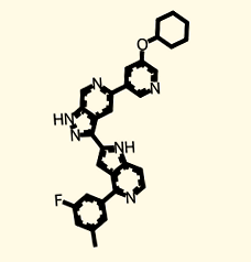 Cc1cc(F)cc(-c2nccc3[nH]c(-c4n[nH]c5cnc(-c6cncc(OC7CCCCC7)c6)cc45)cc23)c1